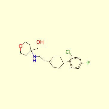 OCC1(NCC[C@H]2CC[C@@H](c3ccc(F)cc3Cl)CC2)CCOCC1